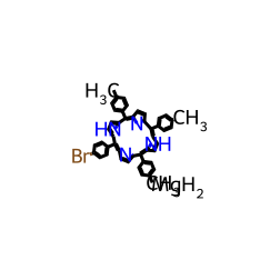 Cc1ccc(-c2c3nc(c(-c4ccc(C)cc4)c4ccc([nH]4)c(-c4ccc(Br)cc4)c4nc(c(-c5ccc(C)cc5)c5ccc2[nH]5)C=C4)C=C3)cc1.[MgH2]